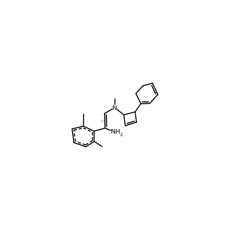 Cc1cccc(C)c1/C(N)=C/N(C)C1C=CC1C1=CC=CCC1